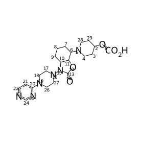 O=C(O)OC1CCN(C2CCCC3C2OC(=O)N3N2CCN(c3ccncn3)CC2)CC1